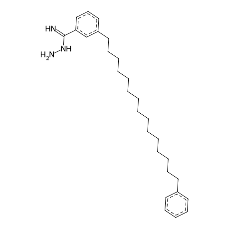 N=C(NN)c1cccc(CCCCCCCCCCCCCCCc2ccccc2)c1